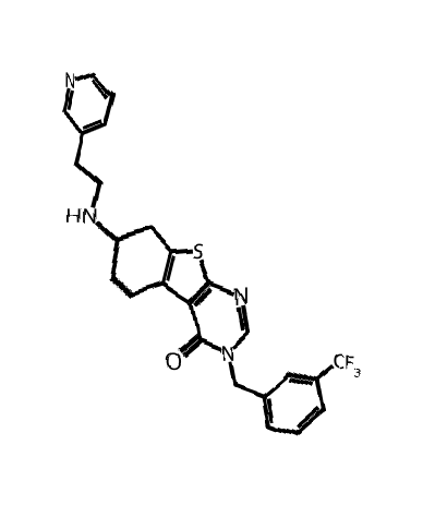 O=c1c2c3c(sc2ncn1Cc1cccc(C(F)(F)F)c1)CC(NCCc1cccnc1)CC3